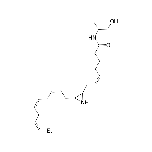 CC/C=C\C/C=C\C/C=C\CC1NC1C/C=C\CCCC(=O)NC(C)CO